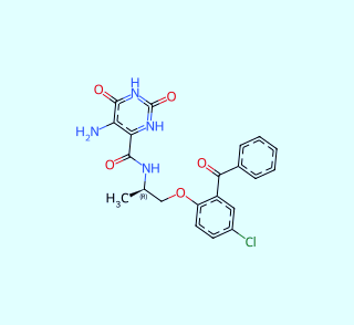 C[C@H](COc1ccc(Cl)cc1C(=O)c1ccccc1)NC(=O)c1[nH]c(=O)[nH]c(=O)c1N